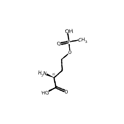 CP(=O)(O)OCC[C@H](N)C(=O)O